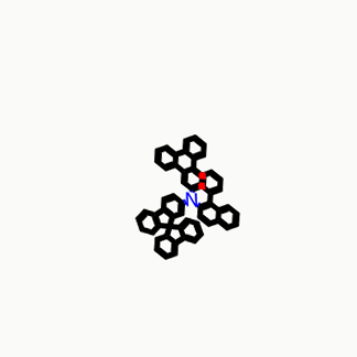 C1=CCC2C(=C1)c1ccccc1C21C2=C(C=CCC2)c2ccc(N(c3ccc4c5ccccc5c5ccccc5c4c3)c3ccc4ccccc4c3-c3ccccc3)cc21